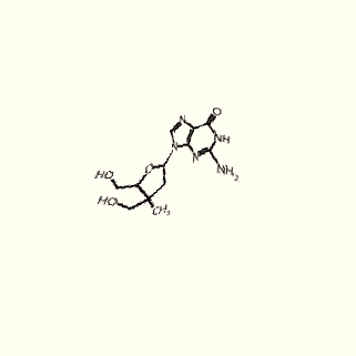 CC1(CO)CC(n2cnc3c(=O)[nH]c(N)nc32)OC1CO